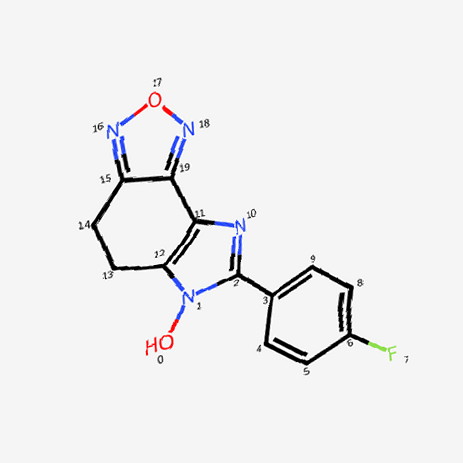 On1c(-c2ccc(F)cc2)nc2c1CCc1nonc1-2